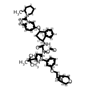 C[C@H]1CCCCN1c1nnc2ccc(O[C@@H]3CC[C@H](NC(=O)N(OC=O)c4cc(C(C)(C)C)nn4-c4cccc(OCCN5C6CCC5COC6)c4)c4ccccc43)cn12